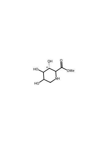 COC(=O)C1NCC(O)C(O)[C@@H]1O